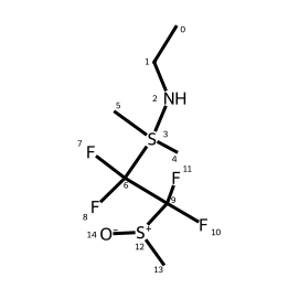 CCNS(C)(C)C(F)(F)C(F)(F)[S+](C)[O-]